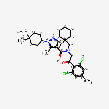 Cc1cc(Cl)c(C(=O)CN(CC2(C)CCCCC2)C(=O)c2cnn(C3CCC(C)(C(=O)O)CC3)c2C(F)(F)F)c(Cl)c1